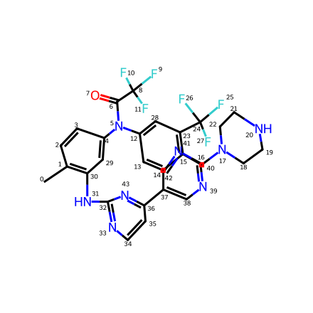 Cc1ccc(N(C(=O)C(F)(F)F)c2ccc(CN3CCNCC3)c(C(F)(F)F)c2)cc1Nc1nccc(-c2cncnc2)n1